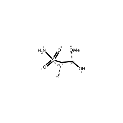 CO[C@H](O)[C@H](C)S(N)(=O)=O